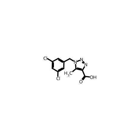 Cc1c(C(=O)O)nnn1Cc1cc(Cl)cc(Cl)c1